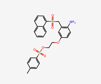 Cc1ccc(S(=O)(=O)OCCOc2ccc(N)c(CS(=O)(=O)c3cccc4ccccc34)c2)cc1